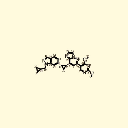 COc1ncc(-c2cc([C@H]3C[C@@H]3c3ccc4cnn(CC5CC5)c4c3)c3nccn3n2)c(OC)n1